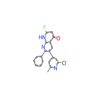 Cc1cc(-c2cc3c(=O)cc(F)[nH]c3nc2-c2ccccc2)cc(Cl)n1